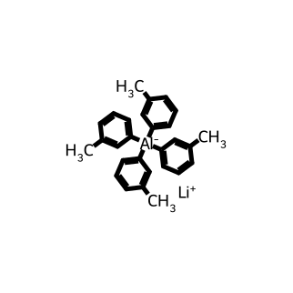 Cc1ccc[c]([Al-]([c]2cccc(C)c2)([c]2cccc(C)c2)[c]2cccc(C)c2)c1.[Li+]